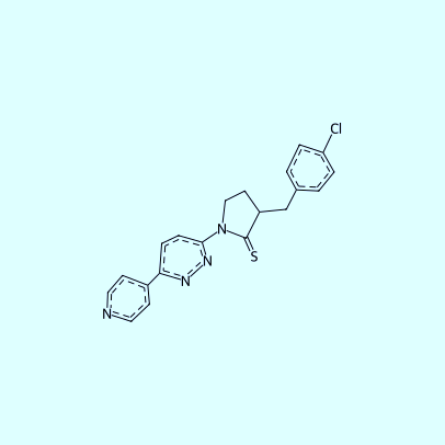 S=C1C(Cc2ccc(Cl)cc2)CCN1c1ccc(-c2ccncc2)nn1